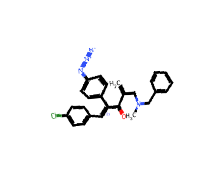 C=C(CN(C)Cc1ccccc1)C(=O)/C(=C/c1ccc(Cl)cc1)c1ccc(N=[N+]=[N-])cc1